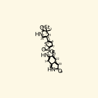 CCC1(C)CC(c2ccc(S(=O)(=O)Nc3cc4c[nH]c(=O)cc4cc3F)s2)=CNC1=O